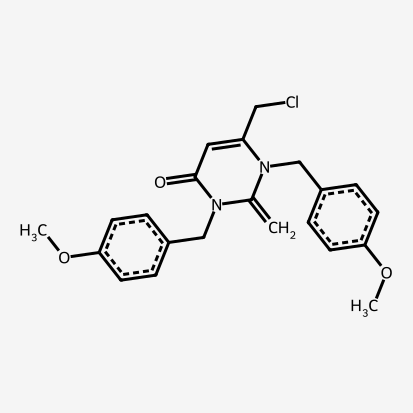 C=C1N(Cc2ccc(OC)cc2)C(=O)C=C(CCl)N1Cc1ccc(OC)cc1